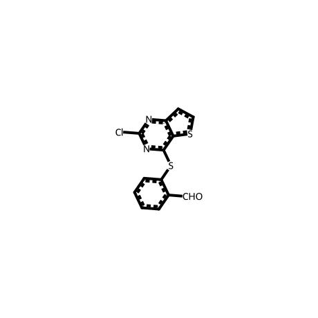 O=Cc1ccccc1Sc1nc(Cl)nc2ccsc12